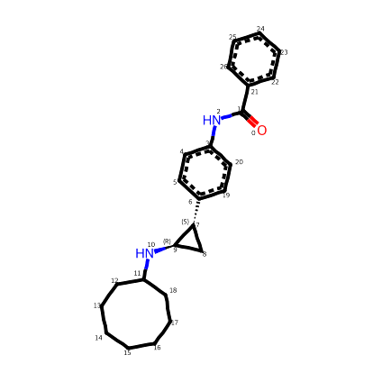 O=C(Nc1ccc([C@@H]2C[C@H]2NC2CCCCCCC2)cc1)c1ccccc1